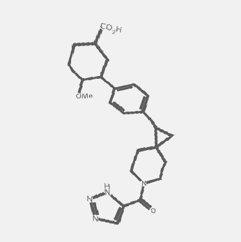 COC1CCC(C(=O)O)CC1c1ccc(C2CC23CCN(C(=O)c2cnn[nH]2)CC3)cc1